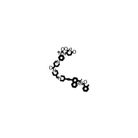 Cc1ccccc1C(=O)N[C@H](C)c1ccc(C#CC2CCN(CC3CCN(C(=O)C4CCN(c5ccc6c(c5)n(C)c(=O)n6C5CCC(=O)N(C)C5=O)CC4)CC3)CC2)c2ccccc12